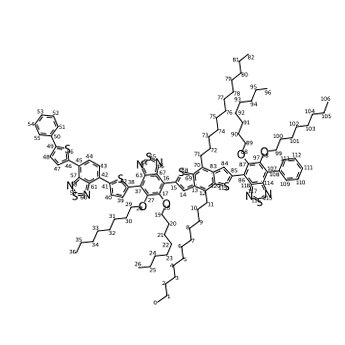 CCCCCCCCCCCCc1c2cc(-c3c(OCCCCCCCC)c(OCCCCCCCC)c(-c4ccc(-c5ccc(-c6ccc(-c7ccccc7)s6)c6nsnc56)s4)c4nsnc34)sc2c(CCCCCCCCCCCC)c2cc(-c3c(OCCCCCCCC)c(OCCCCCCCC)c(-c4ccccc4)c4nsnc34)sc12